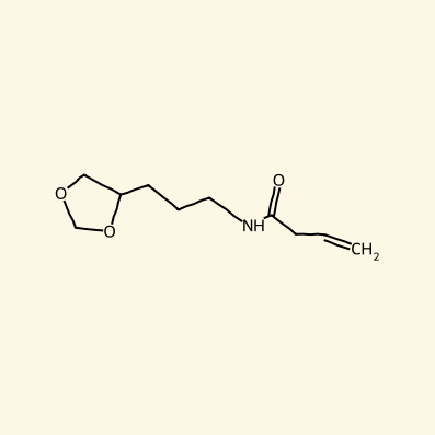 C=CCC(=O)NCCCC1COCO1